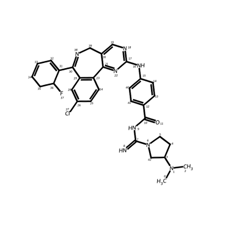 CN(C)C1CCN(C(=N)NC(=O)c2ccc(Nc3ncc4c(n3)-c3ccc(Cl)cc3C(C3=CC=CCC3F)=NC4)cc2)C1